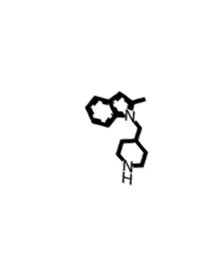 Cc1cc2ccccc2n1CC1CCNCC1